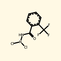 O=C(NN(Cl)Cl)c1ccccc1C(F)(F)F